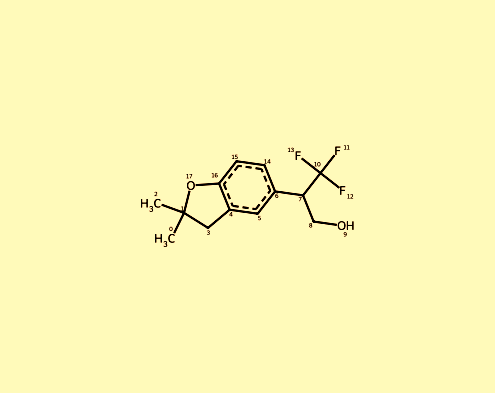 CC1(C)Cc2cc(C(CO)C(F)(F)F)ccc2O1